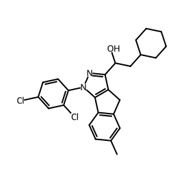 Cc1ccc2c(c1)Cc1c(C(O)CC3CCCCC3)nn(-c3ccc(Cl)cc3Cl)c1-2